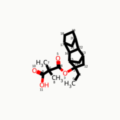 CCC1(OC(=O)C(C)(C)C(=O)O)CC2CC1C1C3CCC(C3)C21